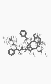 CC(=O)C[C@H]1C(=O)[C@]23C[C@H]2C[C@H]2OC[C@@]2(OC(C)=O)[C@H]3[C@H](OC(=O)c2ccccc2)[C@]2(O)C[C@H](OC(=O)[C@H](O)[C@@H](NC(=O)NC(C)(C)C)c3ccccc3)C(C)C1C2(C)C